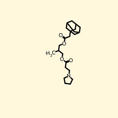 [CH2]C(COC(=O)CCN1CCCC1)COC(=O)CC12CC3CC(CC(C3)C1)C2